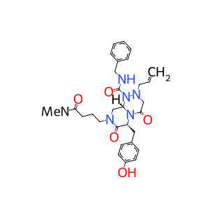 C=CCN1CC(=O)N2[C@@H](Cc3ccc(O)cc3)C(=O)N(CCCC(=O)NC)C[C@@H]2N1C(=O)NCc1ccccc1